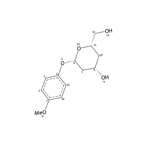 COc1ccc(O[C@H]2C[C@@H](O)C[C@@H](CO)O2)cc1